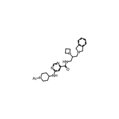 CC(=O)N1CCC(Nc2cc(C(=O)NCC(CN3Cc4ccccc4C3)N3CCC3)ncn2)CC1